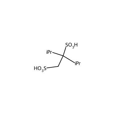 CC(C)C(CS(=O)(=O)O)(C(C)C)S(=O)(=O)O